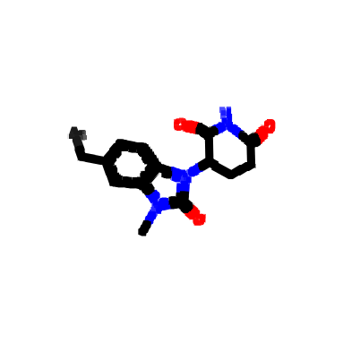 CC(=O)Cc1ccc2c(c1)n(C)c(=O)n2C1CCC(=O)NC1=O